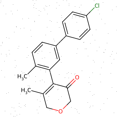 CC1=C(c2cc(-c3ccc(Cl)cc3)ccc2C)C(=O)COC1